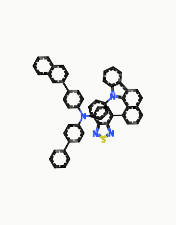 c1ccc(-c2ccc(N(c3ccc(-c4ccc5ccccc5c4)cc3)c3ccc(-c4cccc5ccc6c7ccccc7n(-c7ccccc7)c6c45)c4nsnc34)cc2)cc1